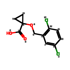 O=C(O)C1(OCc2cc(Cl)ccc2Cl)CC1